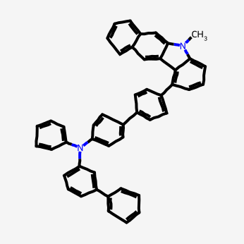 Cn1c2cc3ccccc3cc2c2c(-c3ccc(-c4ccc(N(c5ccccc5)c5cccc(-c6ccccc6)c5)cc4)cc3)cccc21